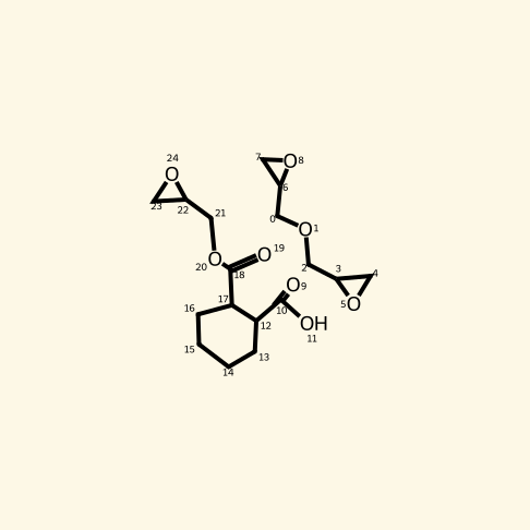 C(OCC1CO1)C1CO1.O=C(O)C1CCCCC1C(=O)OCC1CO1